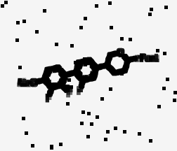 CCCCCC1CCC(c2ccc(-c3ccc(OC)c(F)c3F)c(F)c2)CO1